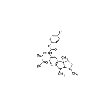 CN1CCC2(C)c3cc(NC(=O)Oc4ccc(Cl)cc4)ccc3N(C)C12.O=C(O)C(=O)O